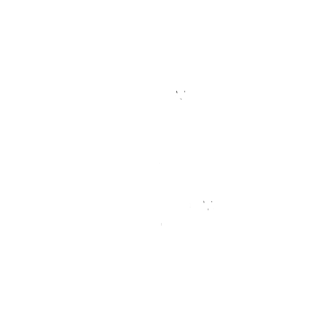 COC(=O)Cc1cccc2c1C(=O)c1cc(OC)ccc1CS2